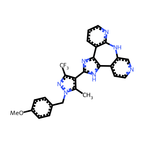 COc1ccc(Cn2nc(C(F)(F)F)c(-c3nc4c([nH]3)-c3ccncc3Nc3ncccc3-4)c2C)cc1